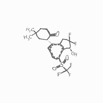 CC1(C)CCC(=O)[C@H](c2ccc(S(=O)(=O)C(F)(F)F)c3c2CC(F)(F)[C@H]3O)C1